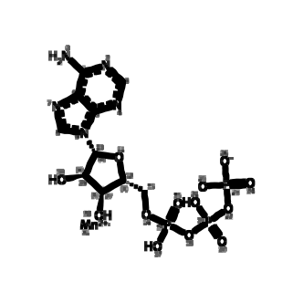 Nc1ncnc2c1ncn2[C@@H]1O[C@H](COP(=O)(O)OP(=O)(O)OP(=O)([O-])[O-])[C@@H](O)[C@H]1O.[Mn+2]